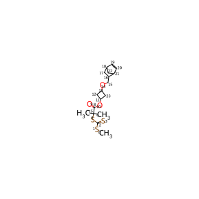 CSC(=S)SC(C)(C)C(=O)OC1CC(OCC2CC3C=CC2C3)C1